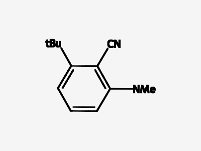 CNc1cccc(C(C)(C)C)c1C#N